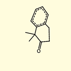 CC1(C)C(=O)CCc2ccccc21